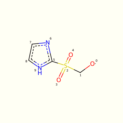 [O]CS(=O)(=O)c1ncc[nH]1